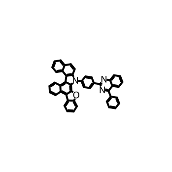 c1ccc(-c2nc(-c3ccc(-n4c5ccc6ccccc6c5c5c6ccccc6c6c7ccccc7oc6c54)cc3)nc3ccccc23)cc1